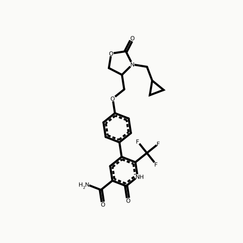 NC(=O)c1cc(-c2ccc(OCC3COC(=O)N3CC3CC3)cc2)c(C(F)(F)F)[nH]c1=O